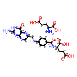 N[C@@H](CCC(=O)O)C(=O)O.Nc1nc2ncc(CNc3ccc(C(=O)NC(CCC(=O)O)C(=O)O)cc3)nc2c(=O)[nH]1